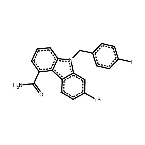 CCCc1c[c]c2c3c(C(N)=O)cccc3n(Cc3ccc(I)cc3)c2c1